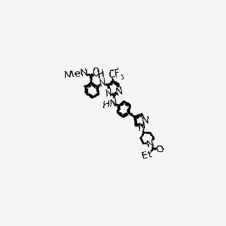 CCC(=O)N1CCC(n2cc(-c3ccc(Nc4ncc(C(F)(F)F)c(Nc5ccccc5C(=O)NC)n4)cc3)cn2)CC1